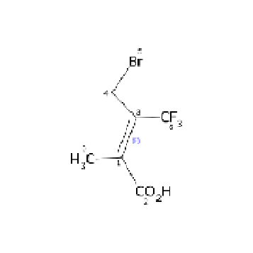 C/C(C(=O)O)=C(\CBr)C(F)(F)F